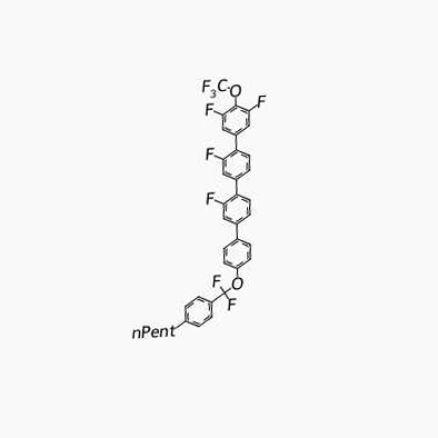 CCCCCc1ccc(C(F)(F)Oc2ccc(-c3ccc(-c4ccc(-c5cc(F)c(OC(F)(F)F)c(F)c5)c(F)c4)c(F)c3)cc2)cc1